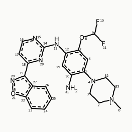 CN1CCN(c2cc(OC(F)F)c(Nc3nccc(-c4noc5ccccc45)n3)cc2N)CC1